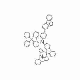 c1ccc(C2(c3ccccc3)c3ccccc3-c3c(N(c4ccc(-c5ccc6c(c5)oc5ccccc56)cc4)c4ccc5c(c4)C4(c6ccccc6-5)c5ccccc5-n5c6ccccc6c6cccc4c65)cccc32)cc1